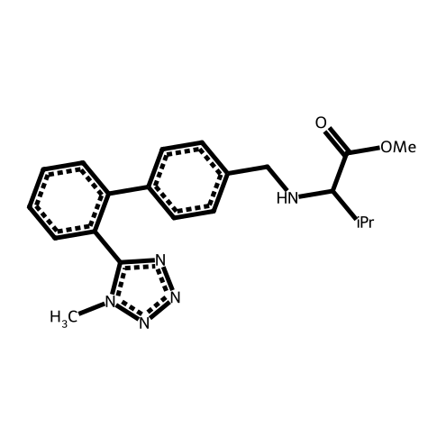 COC(=O)C(NCc1ccc(-c2ccccc2-c2nnnn2C)cc1)C(C)C